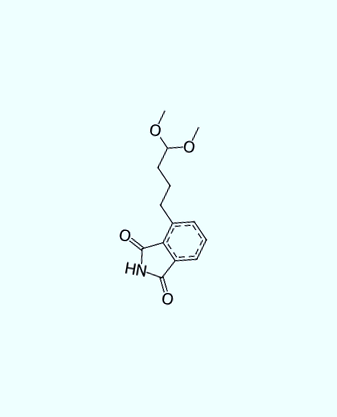 COC(CCCc1cccc2c1C(=O)NC2=O)OC